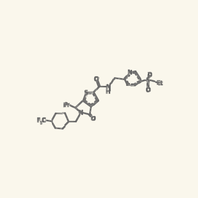 CCS(=O)(=O)c1ccc(CNC(=O)c2cc3c(s2)C(C(C)C)N(CC2CCC(C(F)(F)F)CC2)C3=O)nc1